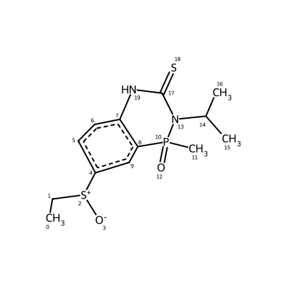 CC[S+]([O-])c1ccc2c(c1)P(C)(=O)N(C(C)C)C(=S)N2